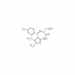 Cc1sc2c(c1C)C(c1ccc(Cl)cc1)=NC(CO)C(=O)N2